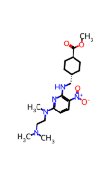 COC(=O)[C@H]1CC[C@H](CNc2nc(N(C)CCN(C)C)ccc2[N+](=O)[O-])CC1